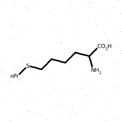 CCCSCCCCC(N)C(=O)O